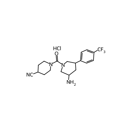 Cl.N#CC1CCN(C(=O)N2CC(N)CC(c3ccc(C(F)(F)F)cc3)C2)CC1